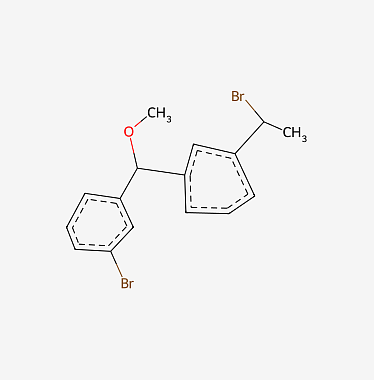 COC(c1cccc(Br)c1)c1cccc(C(C)Br)c1